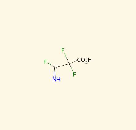 N=C(F)C(F)(F)C(=O)O